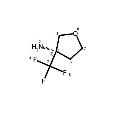 N[C@@]1(C(F)(F)F)CCOC1